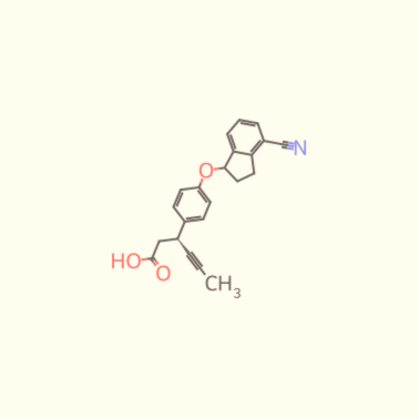 CC#C[C@@H](CC(=O)O)c1ccc(OC2CCc3c(C#N)cccc32)cc1